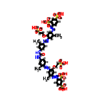 Cc1cc(NC(=O)Nc2ccc(N=Nc3cc(C)c(N=Nc4ccc(S(=O)(=O)O)cc4S(=O)(=O)O)cc3OCCS(=O)(=O)O)c(C)c2)ccc1N=Nc1cc(C)c(N=Nc2ccc(S(=O)(=O)O)cc2S(=O)(=O)O)cc1OCCS(=O)(=O)O